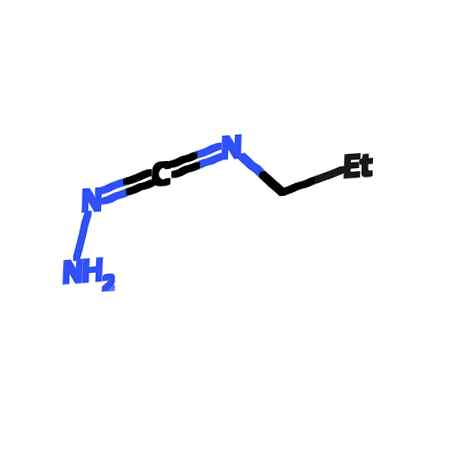 CCCN=C=NN